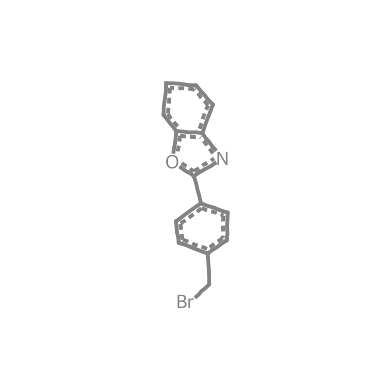 BrCc1ccc(-c2nc3ccccc3o2)cc1